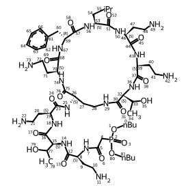 CCCCOP(=O)(CC(=O)N[C@@H](CCN)C(=O)N[C@H](C(=O)N[C@@H](CCN)C(=O)N[C@H]1CCNC(=O)[C@H](C(C)O)NC(=O)[C@H](CCN)NC(=O)[C@H](CCN)NC(=O)[C@H](CC(C)C)NC(=O)[C@@H](Cc2ccccc2)NC(=O)[C@H](CCN)NC1=O)C(C)O)OCCCC